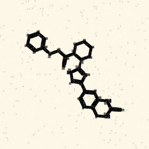 O=C1NCc2ccc(-c3n[nH]c([C@H]4CCCCN4C(=O)COc4ccccc4)n3)cc2N1